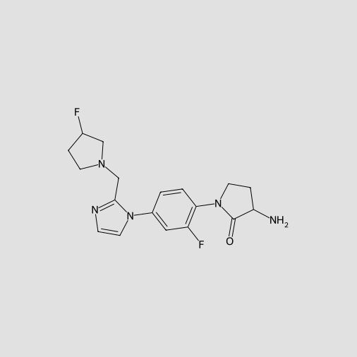 NC1CCN(c2ccc(-n3ccnc3CN3CCC(F)C3)cc2F)C1=O